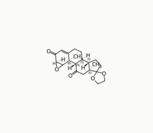 C[C@]12CC(=O)[C@H]3[C@@H](CCC4=CC(=O)[C@@H]5OC5[C@@]43C)[C@@H]1CCC21OCCO1